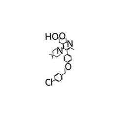 Cc1nc(C)c(-c2ccc(OCCc3ccc(Cl)cc3)cc2)c(N2CCC(C)(C)CC2)c1CC(=O)O